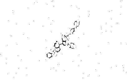 O=S(=O)(c1ccccc1)n1ccc2c(-c3cn(N4CCOCC4)c4nc(SCN5CC(N6CCOCC6)C5)ncc34)nccc21